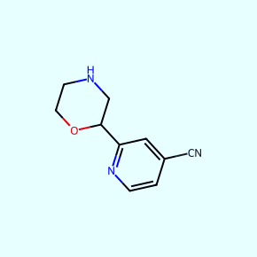 N#Cc1ccnc(C2CNCCO2)c1